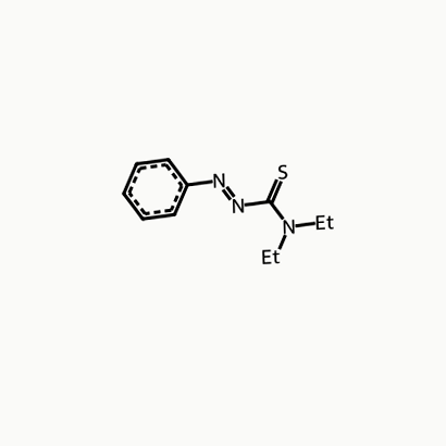 CCN(CC)C(=S)N=Nc1ccccc1